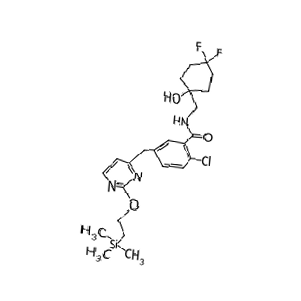 C[Si](C)(C)CCOc1nccc(Cc2ccc(Cl)c(C(=O)NCC3(O)CCC(F)(F)CC3)c2)n1